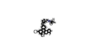 Cc1cccc2c1CCC(c1ccc(Cl)cc1Cl)=C2c1ccc(O[C@H]2CCN(C/C=C/C(=O)N(C)C)C2)cc1